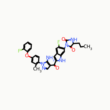 CCCC1NC(=O)N(c2cc3[nH]c(C(=O)c4cnn(-c5ccc(Oc6ccccc6F)cc5C)c4N)cc3cc2F)C1=O